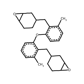 Cc1cccc(Oc2cccc(C)c2CC2CCC3OC3C2)c1CC1CCC2OC2C1